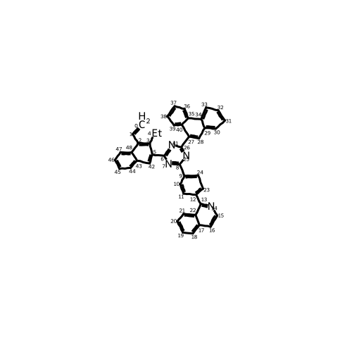 C=Cc1c(CC)c(-c2nc(-c3ccc(-c4nccc5ccccc45)cc3)nc(-c3cc4ccccc4c4ccccc34)n2)cc2ccccc12